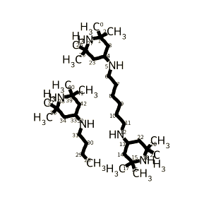 CC1(C)CC(NCCCCCCNC2CC(C)(C)NC(C)(C)C2)CC(C)(C)N1.CCCCNC1CC(C)(C)NC(C)(C)C1